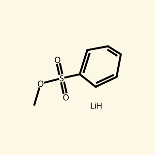 COS(=O)(=O)c1ccccc1.[LiH]